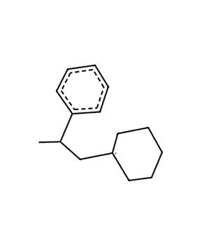 CC(C[C]1CCCCC1)c1ccccc1